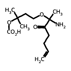 C=CCCC(=O)C(C)(N)OCCC(C)(C)OC(=O)O